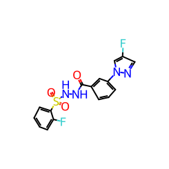 O=C(NNS(=O)(=O)c1ccccc1F)c1cccc(-n2cc(F)cn2)c1